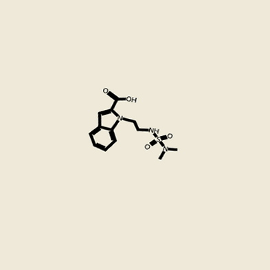 CN(C)S(=O)(=O)NCCn1c(C(=O)O)cc2ccccc21